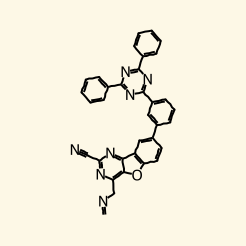 C=NCc1nc(C#N)nc2c1oc1ccc(-c3cccc(-c4nc(-c5ccccc5)nc(-c5ccccc5)n4)c3)cc12